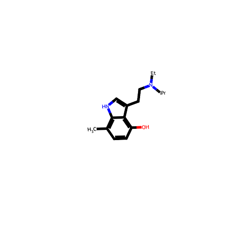 CCN(CCc1c[nH]c2c(C)ccc(O)c12)C(C)C